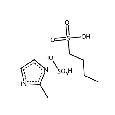 CCCCS(=O)(=O)O.Cc1ncc[nH]1.O=S(=O)(O)O